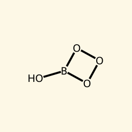 OB1OOO1